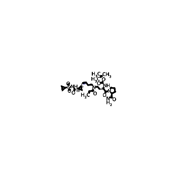 C=CC(=O)N(CC/C=C\[C@@H]1C[C@@H]1C(=O)NS(=O)(=O)C1CC1)CC[C@H](NC(=O)OC(C)(C)C)C(=O)N1CCCC1C(N)=O